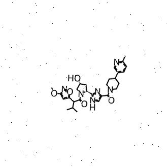 COc1cc(C(C(=O)N2C[C@H](O)C[C@H]2c2nc(C(=O)N3CCC(c4ccc(C)nc4)CC3)c[nH]2)C(C)C)on1